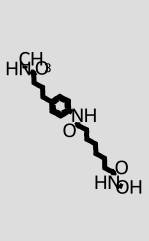 CNC(=O)CCCc1ccc(NC(=O)CCCCCCC(=O)NO)cc1